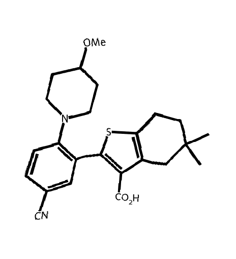 COC1CCN(c2ccc(C#N)cc2-c2sc3c(c2C(=O)O)CC(C)(C)CC3)CC1